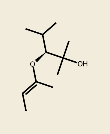 C/C=C(\C)O[C@@H](C(C)C)C(C)(C)O